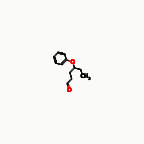 CCC(CCC=O)Oc1ccccc1